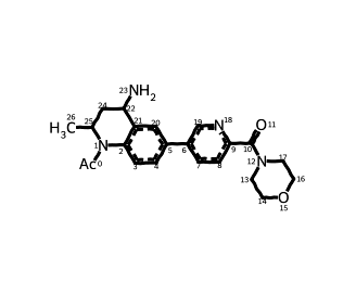 CC(=O)N1c2ccc(-c3ccc(C(=O)N4CCOCC4)nc3)cc2C(N)CC1C